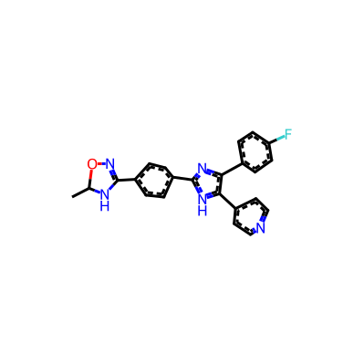 CC1NC(c2ccc(-c3nc(-c4ccc(F)cc4)c(-c4ccncc4)[nH]3)cc2)=NO1